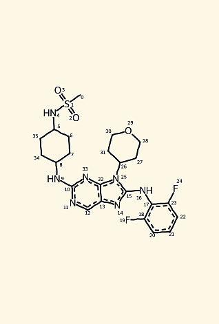 CS(=O)(=O)NC1CCC(Nc2ncc3nc(Nc4c(F)cccc4F)n(C4CCOCC4)c3n2)CC1